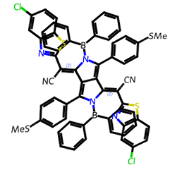 CSc1ccc(-c2c3/c(=C(\C#N)c4nc5cc(Cl)ccc5s4)n(B(c4ccccc4)c4ccccc4)c(-c4ccc(SC)cc4)c3/c(=C(\C#N)c3nc4cc(Cl)ccc4s3)n2B(c2ccccc2)c2ccccc2)cc1